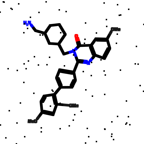 COc1ccc(-c2ccc(-c3nc4ccc(OC)cc4c(=O)n3CC3CCCC(CN)C3)cc2)c(OC)c1